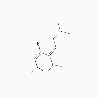 CC(C)/C=C(F)\C(=C/CC(C)C)C(C)C